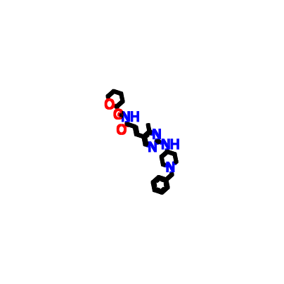 Cc1nc(NC2CCN(Cc3ccccc3)CC2)ncc1/C=C/C(=O)NOC1CCCCO1